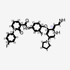 N=C/C=C1\NC=C(N2CCCC2)C=C1Oc1ccc(NC(=O)c2cccn(-c3ccc(F)cc3)c2=O)cc1F